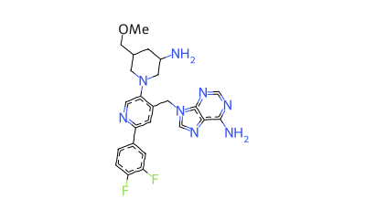 COCC1CC(N)CN(c2cnc(-c3ccc(F)c(F)c3)cc2Cn2cnc3c(N)ncnc32)C1